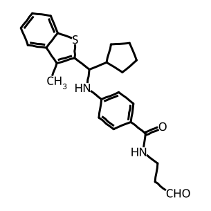 Cc1c(C(Nc2ccc(C(=O)NCCC=O)cc2)C2CCCC2)sc2ccccc12